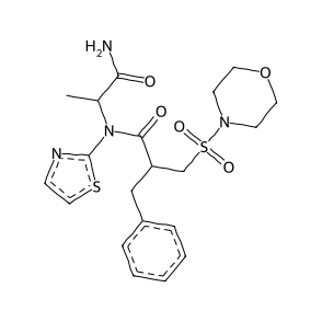 CC(C(N)=O)N(C(=O)C(Cc1ccccc1)CS(=O)(=O)N1CCOCC1)c1nccs1